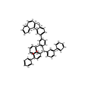 c1ccc(-c2ccc(N(c3cccc(-c4ccccc4)c3)c3ccc(-c4ccc5oc6ccc7ccccc7c6c5c4)cc3-c3ccccc3)cc2)cc1